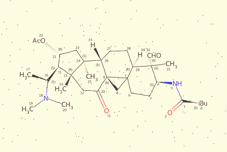 CC[C@H](C)C(=O)N[C@H]1CCC23C[C@]24C(=O)C[C@]2(C)[C@@H]([C@H](C)N(C)C)[C@H](OC(C)=O)C[C@@]2(C)[C@@H]4CC[C@H]3[C@]1(C)C=O